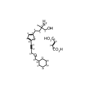 CC(N)(CO)CCc1ccc(C#CCOCC2CCCCC2)s1.O=C(O)C=CC(=O)O